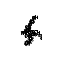 CC(C)(C)OC(=O)n1c(-c2cc(OCCCN3CCC(CO)CC3)c(Cl)c3c2C(=O)NC3)cc2cc(CN3CCCCC3)ccc21